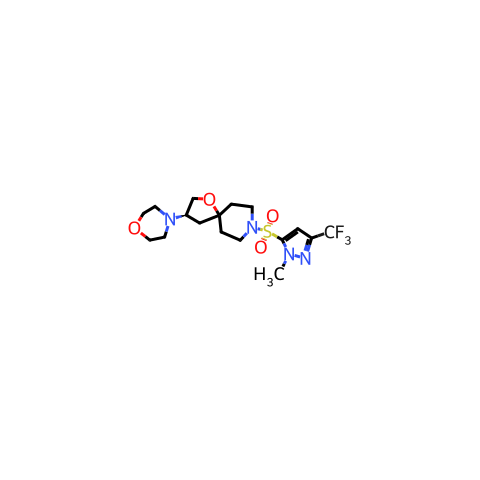 Cn1nc(C(F)(F)F)cc1S(=O)(=O)N1CCC2(CC1)C[C@@H](N1CCOCC1)CO2